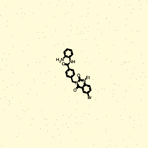 CCn1c(=O)n(Cc2ccc(C(=O)Nc3ccccc3N)cc2)c(=O)c2cc(Br)ccc21